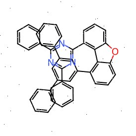 c1ccc(-c2cc(-c3ccccc3)cc(-c3cccc4oc5cccc(-c6nc(-c7ccccc7)nc(-c7ccccc7)n6)c5c34)c2)cc1